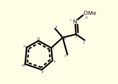 CO/N=C(\C)C(C)(C)c1ccccc1